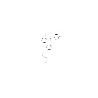 CC1=C(c2cccc(O)c2)C(c2ccc(OC[C@H](C)N3CC[C@@H](C)C3)cc2)Oc2cc(Cl)c(O)cc21